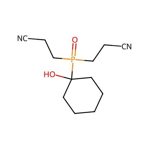 N#CCCP(=O)(CCC#N)C1(O)CCCCC1